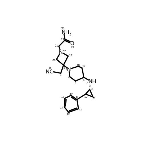 N#CCC1(N2CCC(N[C@@H]3CC3c3ccccc3)CC2)CN(CC(N)=O)C1